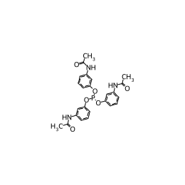 CC(=O)Nc1cccc(OP(Oc2cccc(NC(C)=O)c2)Oc2cccc(NC(C)=O)c2)c1